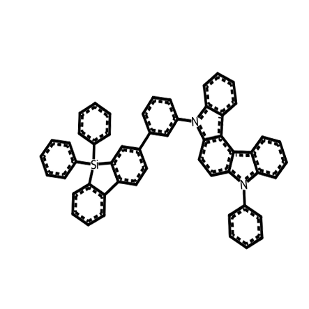 c1ccc(-n2c3ccccc3c3c4c5ccccc5n(-c5cccc(-c6ccc7c(c6)[Si](c6ccccc6)(c6ccccc6)c6ccccc6-7)c5)c4ccc32)cc1